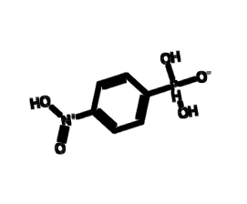 O=[N+](O)c1ccc([PH]([O-])(O)O)cc1